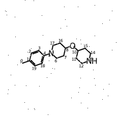 Cc1ccc(N2CCC(OC3CCNCC3)CC2)cc1